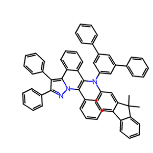 CC1(C)c2ccccc2-c2ccc(N(c3cc(-c4ccccc4)cc(-c4ccccc4)c3)c3c(-c4ccccc4)n4nc(-c5ccccc5)c(-c5ccccc5)c4c4ccccc34)cc21